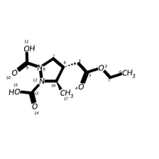 CCOC(=O)C[C@H]1CN(C(=O)O)N(C(=O)O)[C@@H]1C